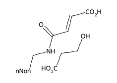 CCCCCCCCCCNC(=O)C=CC(=O)O.O=C(O)CCO